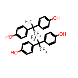 Oc1ccc(C(c2ccc(O)cc2)(C(F)(F)F)C(F)(F)F)cc1.Oc1ccc(C(c2ccc(O)cc2)(C(F)(F)F)C(F)(F)F)cc1